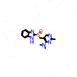 Cc1ncc(C[S+]([O-])c2nc3ccccc3[nH]2)c(N(C)C)n1